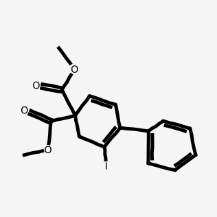 COC(=O)C1(C(=O)OC)C=CC(c2ccccc2)=C(I)C1